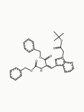 CC(C)(C)OC(=O)Cn1cc(/C=C(/NC(=O)OCc2ccccc2)C(=O)OCc2ccccc2)c2cccnc21